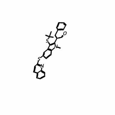 Cn1c(C(C=O)Cc2ccccc2)c(SC(C)(C)C)c2cc(Sc3ccc4ccccc4n3)ccc21